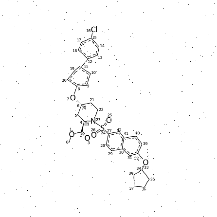 COC(=O)[C@H]1C[C@H](Oc2ccc(-c3ccc(Cl)cc3)cc2)CCN1S(=O)(=O)c1ccc2cc(OC3CCCC3)ccc2c1